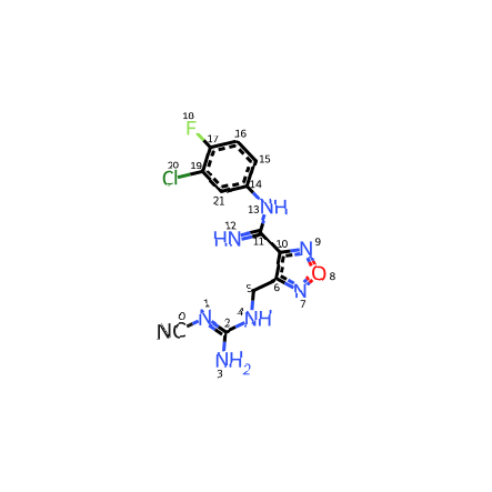 N#CN=C(N)NCc1nonc1C(=N)Nc1ccc(F)c(Cl)c1